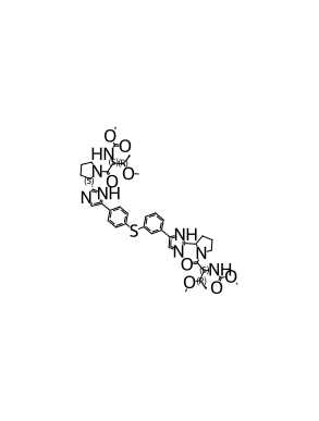 COC(=O)N[C@H](C(=O)N1CCCC1c1ncc(-c2cccc(Sc3ccc(-c4cnc([C@@H]5CCCN5C(=O)[C@@H](NC(=O)OC)[C@@H](C)OC)[nH]4)cc3)c2)[nH]1)[C@@H](C)OC